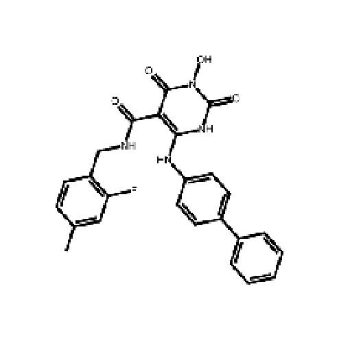 Cc1ccc(CNC(=O)c2c(Nc3ccc(-c4ccccc4)cc3)[nH]c(=O)n(O)c2=O)c(F)c1